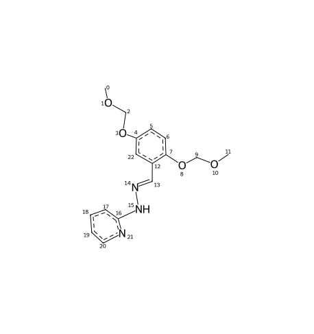 COCOc1ccc(OCOC)c(/C=N/Nc2ccccn2)c1